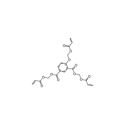 C=CC(=O)OCOC(=O)c1ccc(OCOC(=O)C=C)c(C(=O)OCOC(=O)C=C)c1